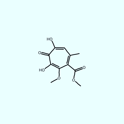 COC(=O)c1c(C)cc(O)c(=O)c(O)c1OC